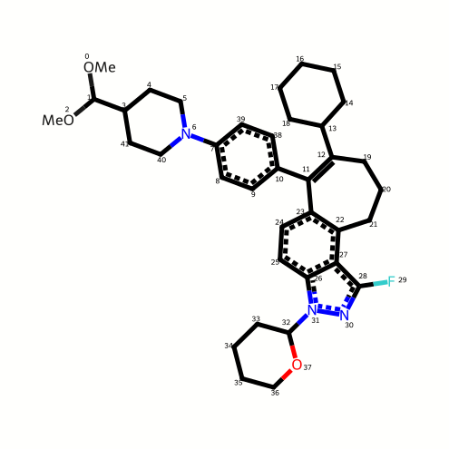 COC(OC)C1CCN(c2ccc(C3=C(C4CCCCC4)CCCc4c3ccc3c4c(F)nn3C3CCCCO3)cc2)CC1